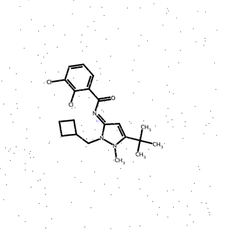 Cn1c(C(C)(C)C)c/c(=N\C(=O)c2cccc(Cl)c2Cl)n1CC1CCC1